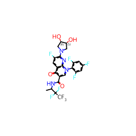 CC(NC(=O)c1cn(-c2c(F)cc(F)cc2F)c2nc(N3C[C@@H](O)[C@@H](O)C3)c(F)cc2c1=O)C(F)(F)C(F)(F)F